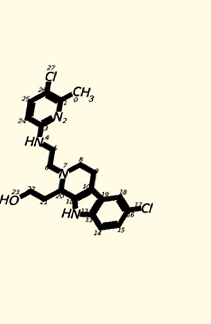 Cc1nc(NCCN2CCc3c([nH]c4ccc(Cl)cc34)C2CCO)ccc1Cl